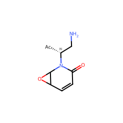 CC(=O)[C@H](CN)N1C(=O)C=CC2OC21